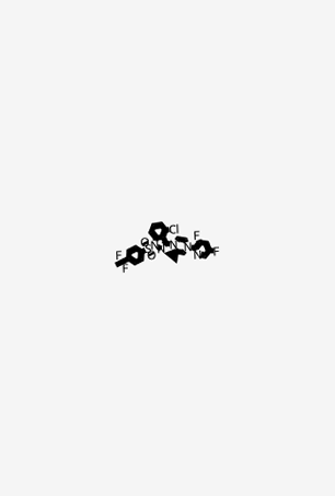 CC(F)(F)c1ccc(S(=O)(=O)n2nc(N3CCN(c4ncc(F)cc4F)CC34CC4)c3c(Cl)cccc32)cc1